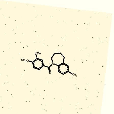 COc1cc(C(=O)N2CCCCc3cc(C)ccc32)ccc1C(=O)O